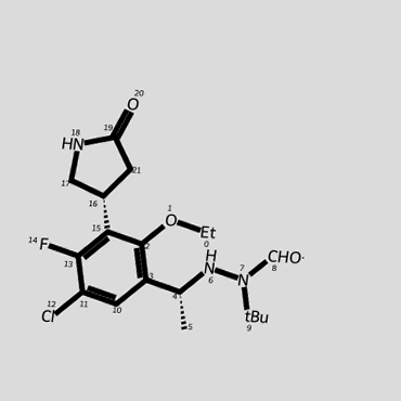 CCOc1c([C@@H](C)NN([C]=O)C(C)(C)C)cc(Cl)c(F)c1[C@@H]1CNC(=O)C1